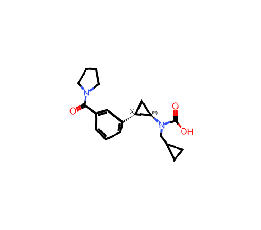 O=C(c1cccc([C@@H]2C[C@H]2N(CC2CC2)C(=O)O)c1)N1CCCC1